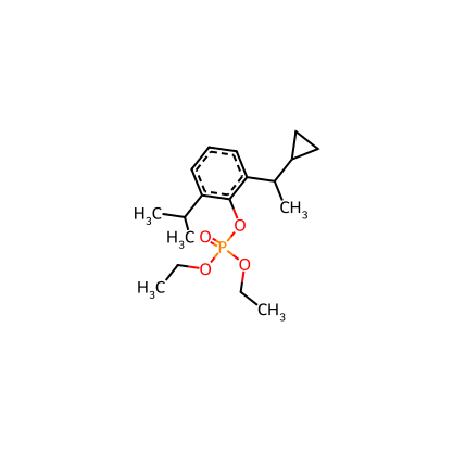 CCOP(=O)(OCC)Oc1c(C(C)C)cccc1C(C)C1CC1